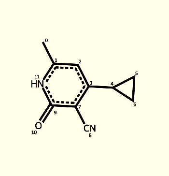 Cc1cc(C2CC2)c(C#N)c(=O)[nH]1